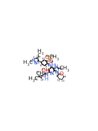 Cc1cn(C)nc1-c1ccc(Nc2cc(NC(O)C3CC3(C)C)nc3c2nc(C)n3C2CCCCO2)c(S(C)(=O)=O)c1